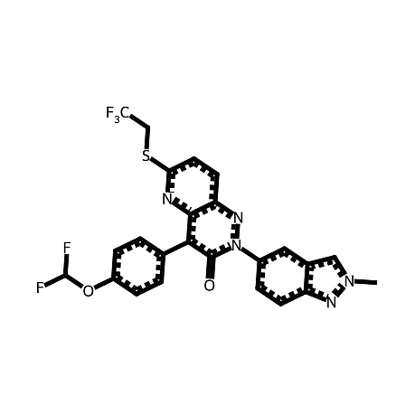 Cn1cc2cc(-n3nc4ccc(SCC(F)(F)F)nc4c(-c4ccc(OC(F)F)cc4)c3=O)ccc2n1